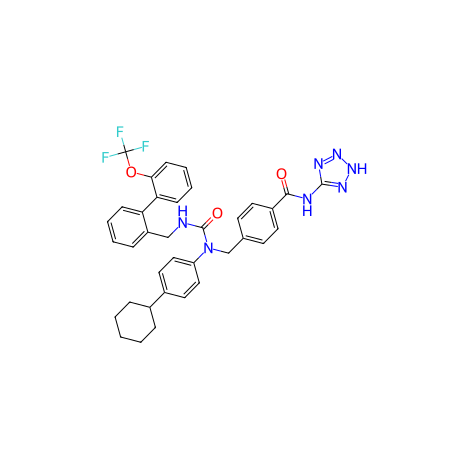 O=C(Nc1nn[nH]n1)c1ccc(CN(C(=O)NCc2ccccc2-c2ccccc2OC(F)(F)F)c2ccc(C3CCCCC3)cc2)cc1